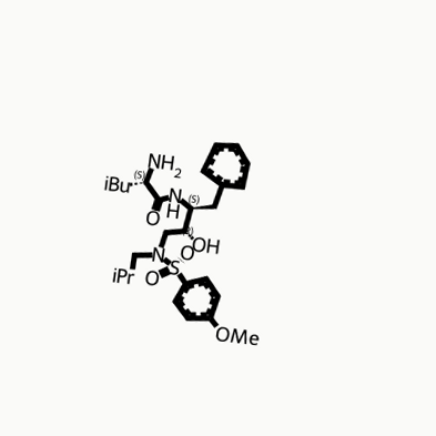 CCC(C)[C@H](N)C(=O)N[C@@H](Cc1ccccc1)[C@H](O)CN(CC(C)C)S(=O)(=O)c1ccc(OC)cc1